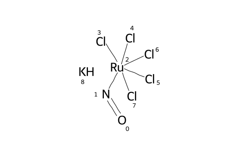 O=[N][Ru]([Cl])([Cl])([Cl])([Cl])[Cl].[KH]